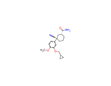 COc1ccc([C@@]2(C#N)CCC[C@@H](C(N)=O)C2)cc1OCC1CC1